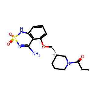 CCC(=O)N1CCC[C@H](COc2cccc3c2C(N)=NS(=O)(=O)N3)C1